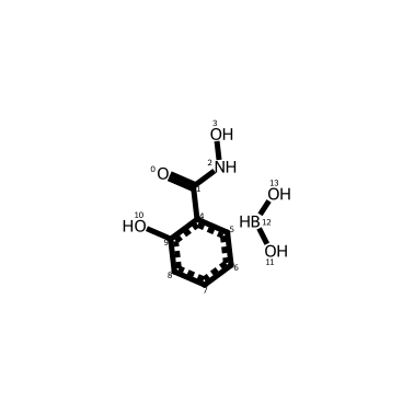 O=C(NO)c1ccccc1O.OBO